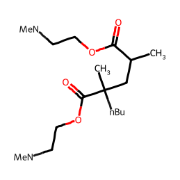 CCCCC(C)(CC(C)C(=O)OCCNC)C(=O)OCCNC